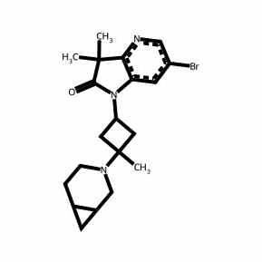 CC1(C)C(=O)N(C2CC(C)(N3CCC4CC4C3)C2)c2cc(Br)cnc21